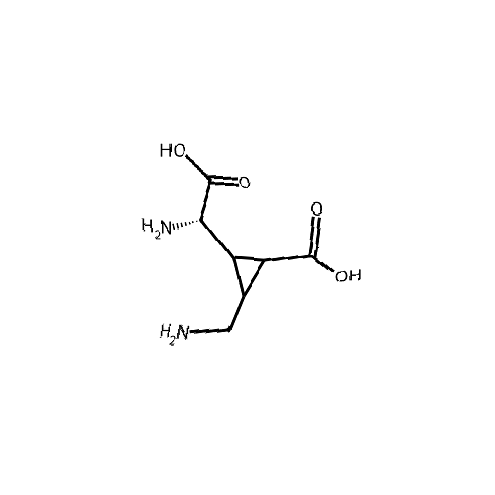 NCC1C(C(=O)O)C1[C@H](N)C(=O)O